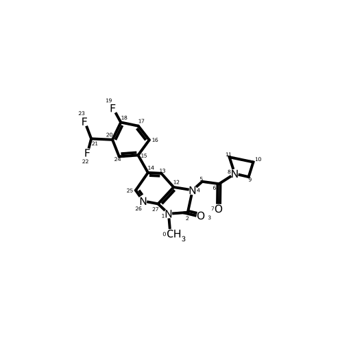 Cn1c(=O)n(CC(=O)N2CCC2)c2cc(-c3ccc(F)c(C(F)F)c3)cnc21